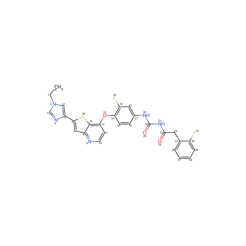 CCn1cnc(-c2cc3nccc(Oc4ccc(NC(=O)NC(=O)Cc5ccccc5F)cc4F)c3s2)c1